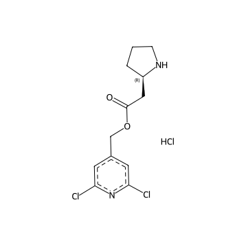 Cl.O=C(C[C@H]1CCCN1)OCc1cc(Cl)nc(Cl)c1